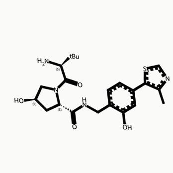 Cc1ncsc1-c1ccc(CNC(=O)[C@@H]2C[C@@H](O)CN2C(=O)[C@@H](N)C(C)(C)C)c(O)c1